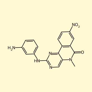 Cn1c(=O)c2cc([N+](=O)[O-])ccc2c2nc(Nc3cccc(N)c3)ncc21